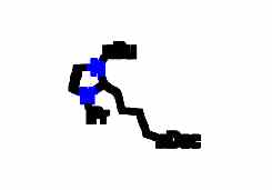 CCCCCCCCCCCCCCC1N(CCCC)C=CN1C(C)C